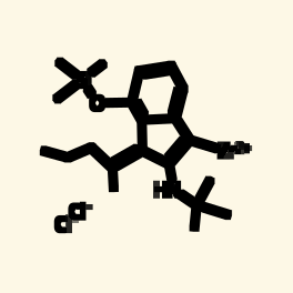 CCCC(C)=C1C(NC(C)(C)C)=[C]([Zr+2])c2cccc(O[Si](C)(C)C)c21.[Cl-].[Cl-]